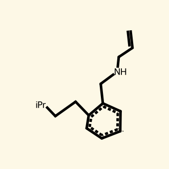 C=CCNCc1c[c]ccc1CCC(C)C